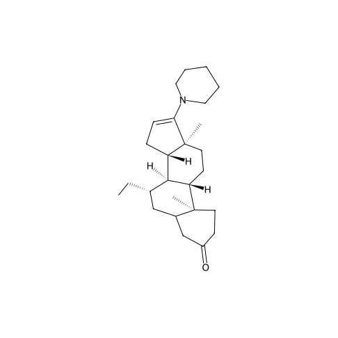 CC[C@H]1CC2CC(=O)CC[C@]2(C)[C@H]2CC[C@]3(C)C(N4CCCCC4)=CC[C@H]3[C@H]12